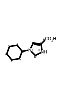 O=C(O)C1=CN(C2CCCCC2)CN1